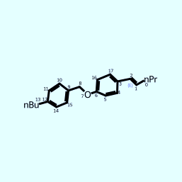 CCC/C=C/c1ccc(OCc2ccc(CCCC)cc2)cc1